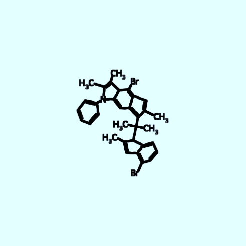 CC1=CC2=C(Br)C3C(=CC2=C1C(C)(C)C1C(C)=Cc2c(Br)cccc21)N(c1ccccc1)C(C)=C3C